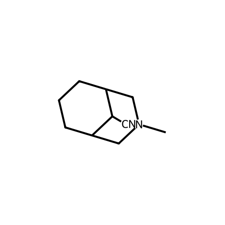 CN1CC2CCCC(C1)C2C#N